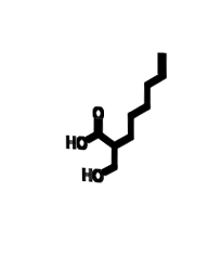 C=CCCCCC(CO)C(=O)O